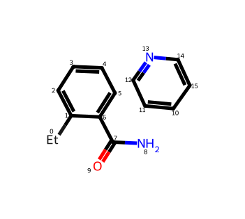 CCc1ccccc1C(N)=O.c1ccncc1